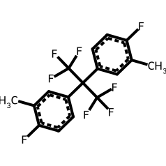 Cc1cc(C(c2ccc(F)c(C)c2)(C(F)(F)F)C(F)(F)F)ccc1F